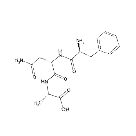 C[C@H](NC(=O)[C@H](CC(N)=O)NC(=O)[C@@H](N)Cc1ccccc1)C(=O)O